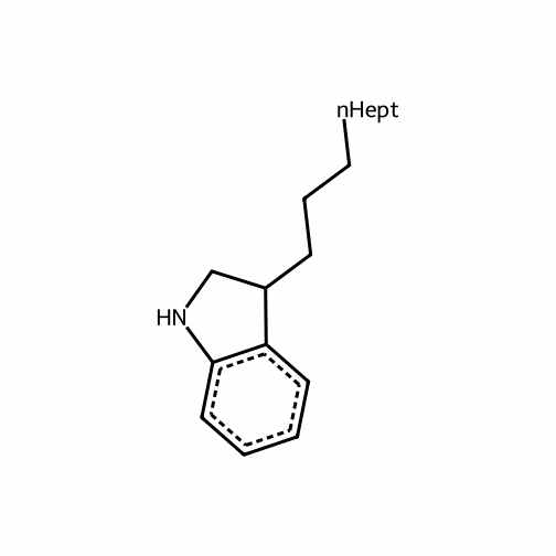 CCCCCCCCCCC1CNc2ccccc21